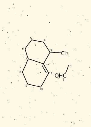 CC=O.ClC1CCCC2CCCC=C12